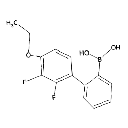 CCOc1ccc(-c2ccccc2B(O)O)c(F)c1F